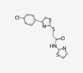 O=C(CSc1nc(-c2ccc(Cl)cc2)cs1)Nc1nccs1